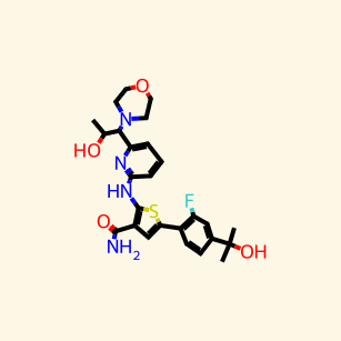 CC(O)C(c1cccc(Nc2sc(-c3ccc(C(C)(C)O)cc3F)cc2C(N)=O)n1)N1CCOCC1